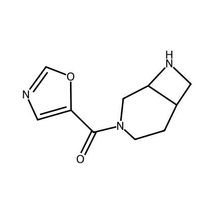 O=C(c1cnco1)N1CCC2CNC2C1